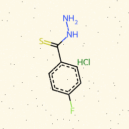 Cl.NNC(=S)c1ccc(F)cc1